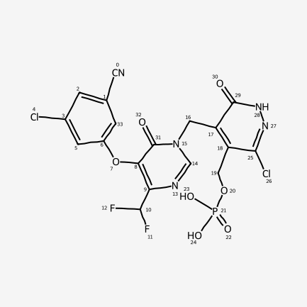 N#Cc1cc(Cl)cc(Oc2c(C(F)F)ncn(Cc3c(COP(=O)(O)O)c(Cl)n[nH]c3=O)c2=O)c1